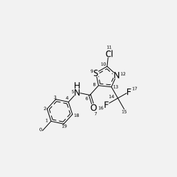 Cc1ccc(NC(=O)c2sc(Cl)nc2C(C)(F)F)cc1